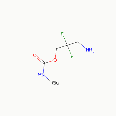 CC(C)(C)NC(=O)OCC(F)(F)CN